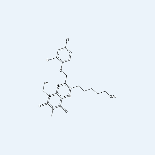 CC(=O)OCCCCCc1nc2c(=O)n(C)c(=O)n(CC(C)C)c2nc1COc1ccc(Cl)cc1Br